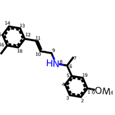 COc1cccc(C(C)NCC=Cc2cccc(C)c2)c1